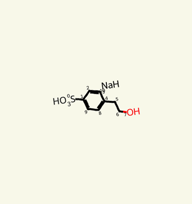 O=S(=O)(O)c1ccc(CCO)cc1.[NaH]